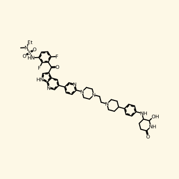 CCN(C)S(=O)(=O)Nc1ccc(F)c(C(=O)c2c[nH]c3ncc(-c4ccc(N5CCN(CCN6CCC(c7ccc(NC8CCC(=O)NC8O)cc7)CC6)CC5)nc4)cc23)c1F